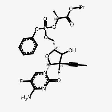 CC#C[C@@]1(F)C(O)[C@@H](COP(=O)(Oc2ccccc2)O[C@@H](C)C(=O)OC(C)C)O[C@H]1n1cc(F)c(N)nc1=O